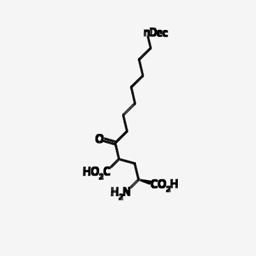 CCCCCCCCCCCCCCCCCC(=O)C(C[C@H](N)C(=O)O)C(=O)O